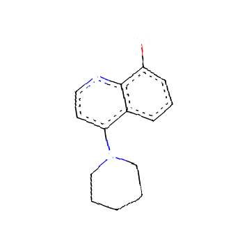 Oc1cccc2c(N3CCCCC3)ccnc12